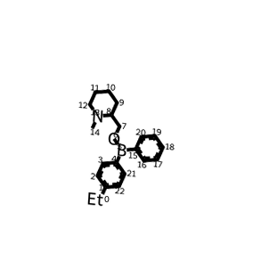 CCc1ccc(B(OCC2CCCCN2C)c2ccccc2)cc1